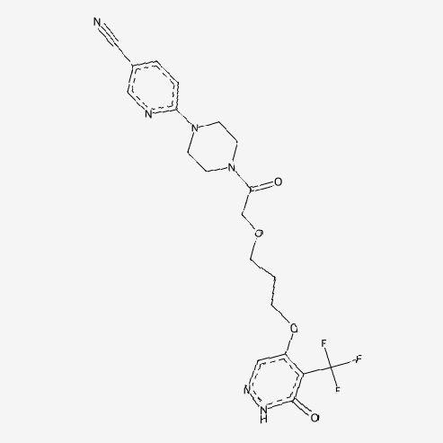 N#Cc1ccc(N2CCN(C(=O)COCCCOc3cn[nH]c(=O)c3C(F)(F)F)CC2)nc1